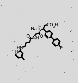 Cc1ccnc(NCCCC(=O)NCC(=O)NC(CC(=O)O)c2ccc(-c3ccc(F)cc3)cc2)c1.[Na]